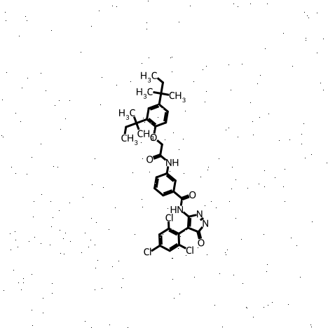 CCC(C)(C)c1ccc(OCC(=O)Nc2cccc(C(=O)NC3=C(c4c(Cl)cc(Cl)cc4Cl)C(=O)N=N3)c2)c(C(C)(C)CC)c1